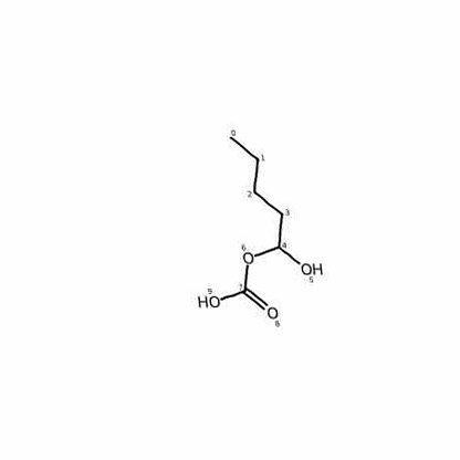 CCCCC(O)OC(=O)O